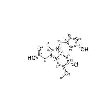 COc1cc2c(CC(=O)O)c(C)n(Cc3csc(O)c3)c2cc1Cl